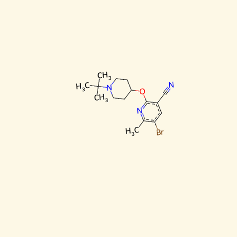 Cc1nc(OC2CCN(C(C)(C)C)CC2)c(C#N)cc1Br